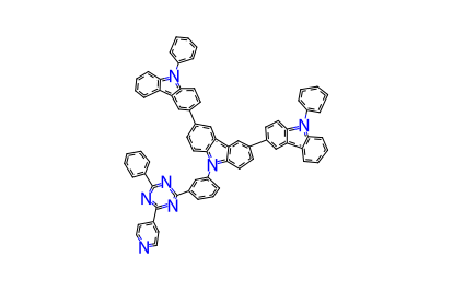 c1ccc(-c2nc(-c3ccncc3)nc(-c3cccc(-n4c5ccc(-c6ccc7c(c6)c6ccccc6n7-c6ccccc6)cc5c5cc(-c6ccc7c(c6)c6ccccc6n7-c6ccccc6)ccc54)c3)n2)cc1